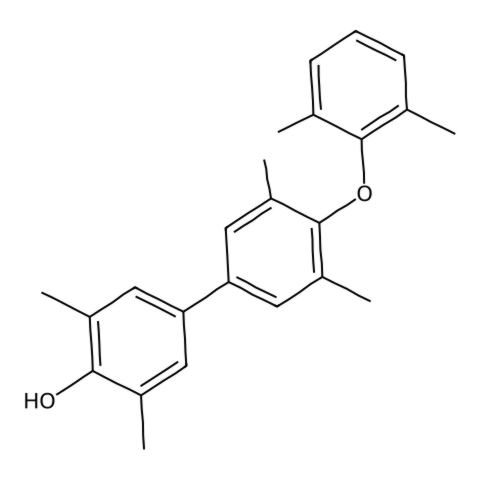 Cc1cc(-c2cc(C)c(Oc3c(C)cccc3C)c(C)c2)cc(C)c1O